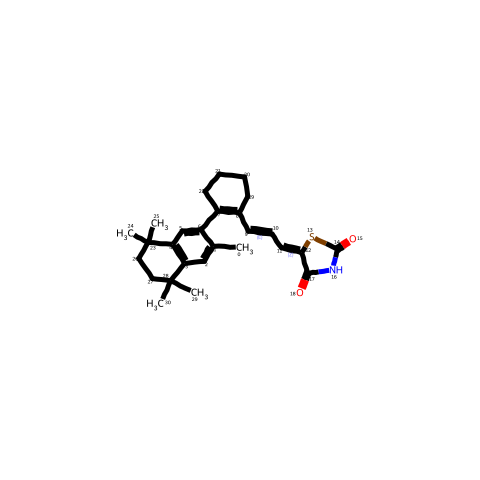 Cc1cc2c(cc1C1=C(/C=C/C=C3\SC(=O)NC3=O)CCCC1)C(C)(C)CCC2(C)C